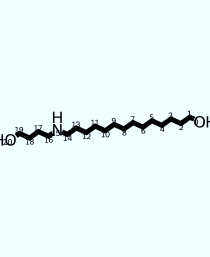 OCCCCCCCCCCCCCCNCCCCO